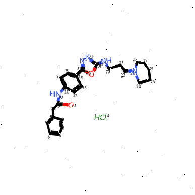 Cl.O=C(Cc1ccccc1)Nc1ccc(-c2nnc(NCCCN3CCCCC3)o2)cc1